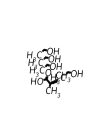 CC=C(C)C(=O)O.CCO.CCO.CCO.CCO